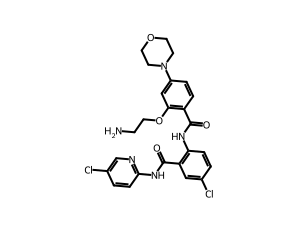 NCCOc1cc(N2CCOCC2)ccc1C(=O)Nc1ccc(Cl)cc1C(=O)Nc1ccc(Cl)cn1